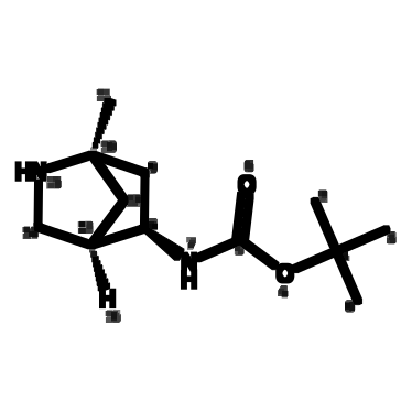 CC(C)(C)OC(=O)N[C@@H]1C[C@@]2(C)C[C@@H]1CN2